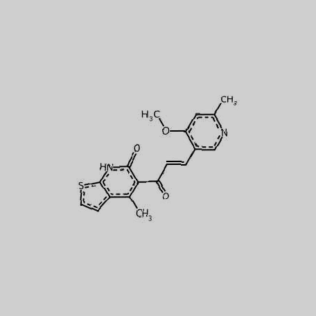 COc1cc(C)ncc1C=CC(=O)c1c(C)c2ccsc2[nH]c1=O